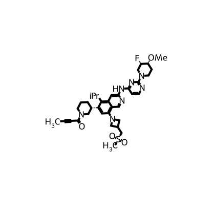 CC#CC(=O)N1CCC[C@H](c2cc(N3CC(CS(C)(=O)=O)C3)c3cnc(Nc4ccnc(N5CC[C@@H](OC)[C@@H](F)C5)n4)cc3c2C(C)C)C1